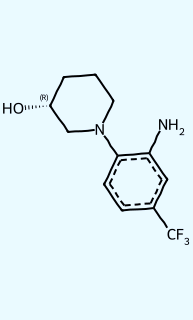 Nc1cc(C(F)(F)F)ccc1N1CCC[C@@H](O)C1